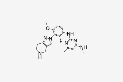 CNc1cc(C)nc(Nc2ccc(OC)c(-n3cc4c(n3)CCNC4)c2F)n1